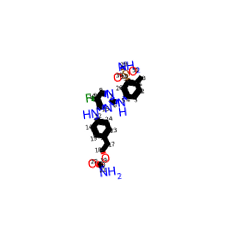 Cc1ccc(Nc2ncc(F)c(Nc3ccc(CCOC(N)=O)cc3)n2)cc1S(N)(=O)=O